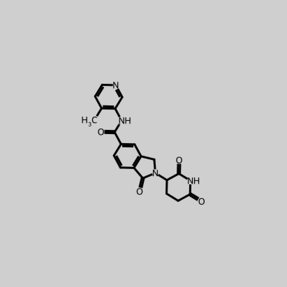 Cc1ccncc1NC(=O)c1ccc2c(c1)CN(C1CCC(=O)NC1=O)C2=O